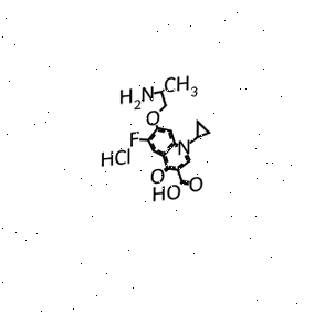 C[C@@H](N)COc1cc2c(cc1F)c(=O)c(C(=O)O)cn2C1CC1.Cl